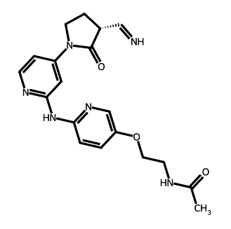 CC(=O)NCCOc1ccc(Nc2cc(N3CC[C@H](C=N)C3=O)ccn2)nc1